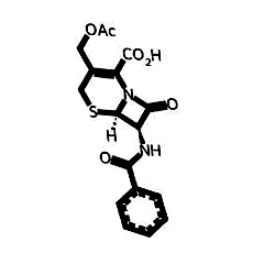 CC(=O)OCC1=C(C(=O)O)N2C(=O)[C@@H](NC(=O)c3ccccc3)[C@H]2SC1